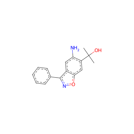 CC(C)(O)c1cc2onc(-c3ccccc3)c2cc1N